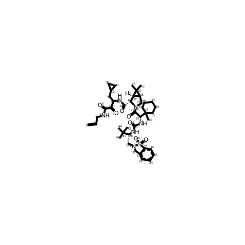 C=CCNC(=O)C(=O)C(CC1CC1)NC(=O)[C@@H]1[C@@H]2C(CN1C(=O)[C@@H](NC(=O)N[C@H](CN1Cc3ccccc3S1(=O)=O)C(C)(C)C)C1(C)CCCCC1)C2(C)C